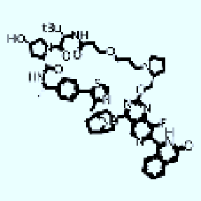 Cc1ncsc1-c1ccc([C@H](C)NC(=O)[C@@H]2C[C@@H](O)CN2C(=O)[C@@H](NC(=O)CCOCCCN2CCC[C@H]2COc2nc(N3CC4CCC(C3)N4)c3cnc(-c4[nH]c(=O)cc5ccccc45)c(F)c3n2)C(C)(C)C)cc1